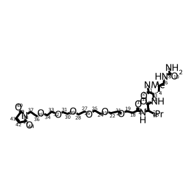 CNC(=O)[C@H](CCCNC(N)=O)NC(=O)C(NC(=O)CCOCCOCCOCCOCCOCCOCCN1C(=O)C=CC1=O)C(C)C